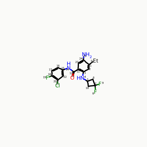 CCc1cc(NC2CC(F)(F)C2)c(C(=O)Nc2ccc(F)c(Cl)c2)cc1N